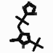 CC(C)(C)c1nn(CC(C)(C)c2nnn[nH]2)c(=O)[nH]1